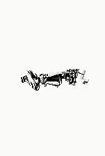 CCC(C)Oc1cccc(Oc2cccc(CNC(=O)c3cccnc3N)c2)c1